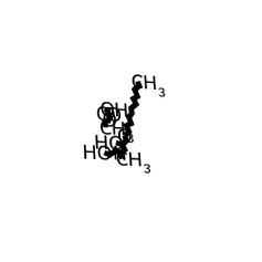 CCCCCCCCCCCCOCC(O)CN(C)CCO.CCOS(=O)(=O)O